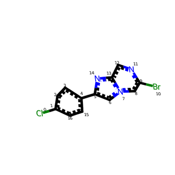 Clc1ccc(-c2cn3cc(Br)ncc3n2)cc1